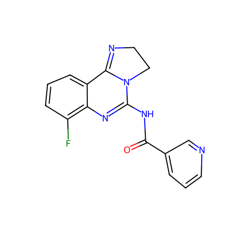 O=C(NC1=Nc2c(F)cccc2C2=NCCN12)c1cccnc1